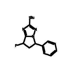 CC(C)(C)c1nc2n(n1)C(c1ccccc1)CC2F